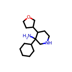 NC1(C2CCCCC2)CNCCC1C1CCOC1